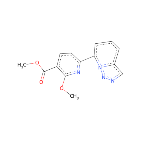 COC(=O)c1ccc(-c2cccc3cnnn23)nc1OC